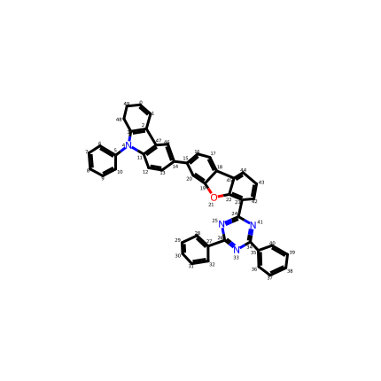 C1=Cc2c(n(-c3ccccc3)c3ccc(-c4ccc5c(c4)oc4c(-c6nc(-c7ccccc7)nc(-c7ccccc7)n6)cccc45)cc23)CC1